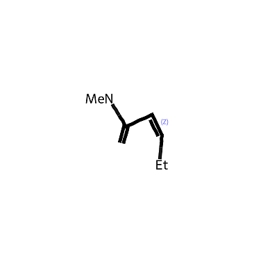 C=C(/C=C\CC)NC